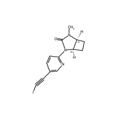 CN1C(=O)N(c2ccc(C#CI)cn2)[C@@H]2CC[C@@H]21